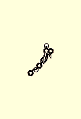 O=C1CCn2c(N3CCN(c4ccc(OCc5ccccc5)cc4)CC3)nc3cccc1c32